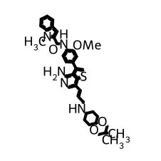 COc1cc(-c2csc3c(C=CCNC4CCC5(CC4)OCC(C)(C)CO5)cnc(N)c23)ccc1NC(=O)c1cc2ccccc2n1C